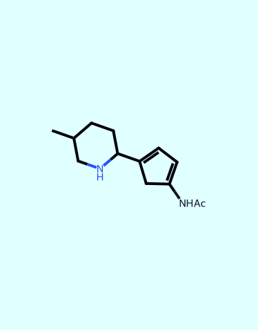 CC(=O)NC1=CC=C(C2CCC(C)CN2)C1